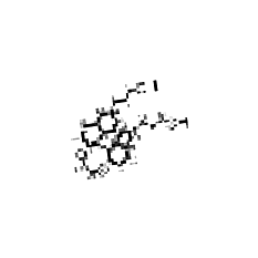 OCCCc1ccc2c3c(ccc2c1)OCCOc1ccc2cc(CCCO)ccc2c1-3